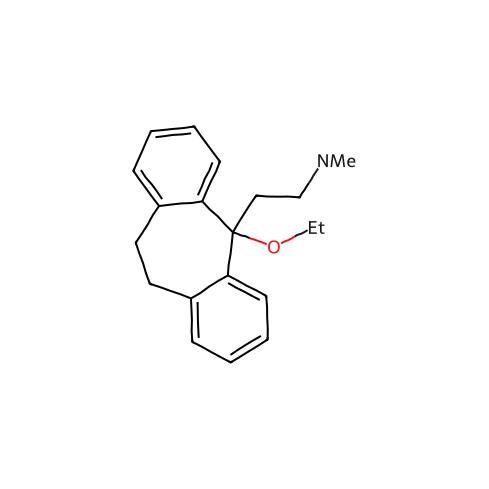 CCOC1(CCNC)c2ccccc2CCc2ccccc21